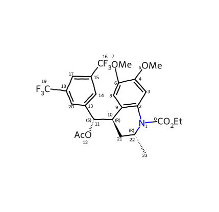 CCOC(=O)N1c2cc(OC)c(OC)cc2[C@H]([C@H](OC(C)=O)c2cc(C(F)(F)F)cc(C(F)(F)F)c2)C[C@H]1C